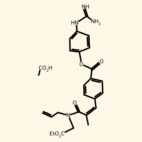 C=CCN(CC(=O)OCC)C(=O)C(C)=Cc1ccc(C(=O)Oc2ccc(NC(=N)N)cc2)cc1.CC(=O)O